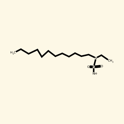 CCCCCCCCCCCCN(CC)S([NH])(=O)=O